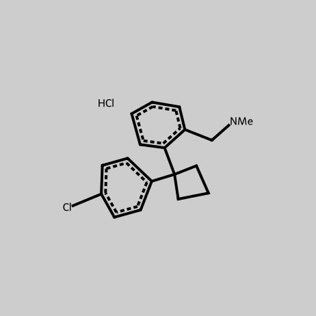 CNCc1ccccc1C1(c2ccc(Cl)cc2)CCC1.Cl